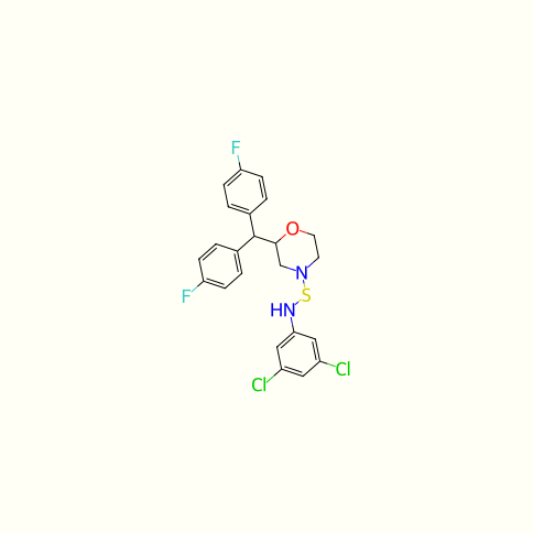 Fc1ccc(C(c2ccc(F)cc2)C2CN(SNc3cc(Cl)cc(Cl)c3)CCO2)cc1